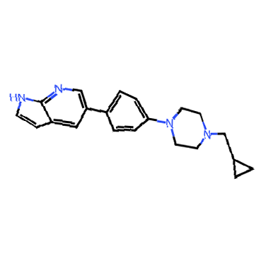 c1cc2cc(-c3ccc(N4CCN(CC5CC5)CC4)cc3)cnc2[nH]1